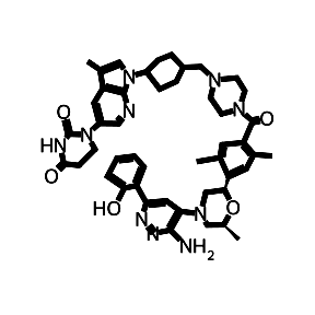 Cc1cc([C@@H]2CN(c3cc(-c4ccccc4O)nnc3N)C[C@H](C)O2)c(C)cc1C(=O)N1CCN(CC2CCC(n3cc(C)c4cc(N5CCC(=O)NC5=O)cnc43)CC2)CC1